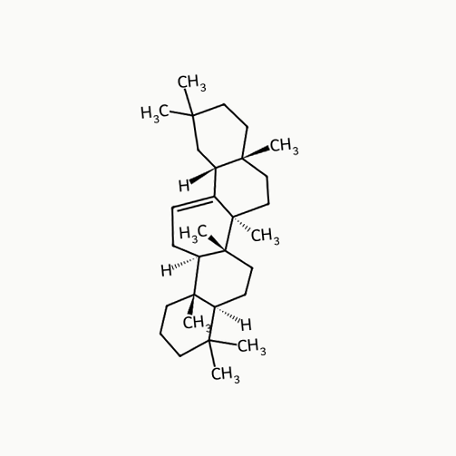 CC1(C)CC[C@]2(C)CC[C@]3(C)C(=CC[C@@H]4[C@@]5(C)CCCC(C)(C)[C@@H]5CC[C@]43C)[C@@H]2C1